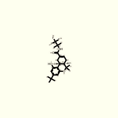 CC(C)(C)c1cc(O)c2c(c1)OC(C)(C)[C@@H]1CC=C(C(=O)NC(C)(C)C(F)(F)F)C[C@@H]21